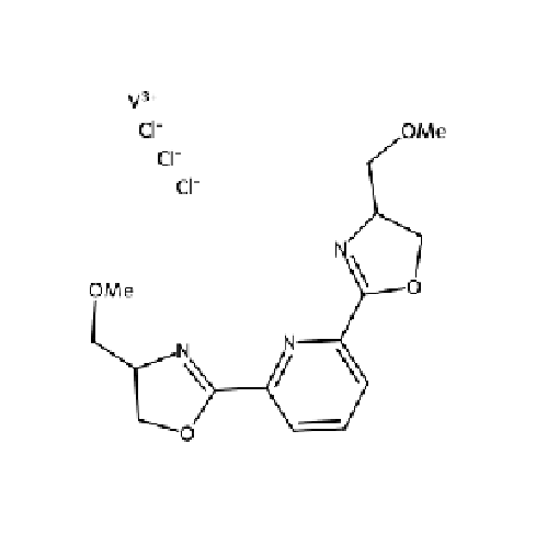 COCC1COC(c2cccc(C3=NC(COC)CO3)n2)=N1.[Cl-].[Cl-].[Cl-].[V+3]